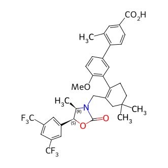 COc1ccc(-c2ccc(C(=O)O)cc2C)cc1C1=C(CN2C(=O)O[C@@H](c3cc(C(F)(F)F)cc(C(F)(F)F)c3)[C@H]2C)CC(C)(C)CC1